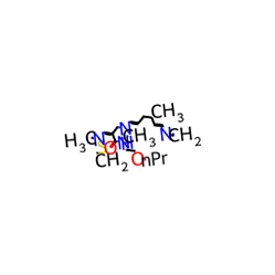 C=CSN(C)/C=C(/CN/C=C/CC(C)/C=C/N=C)C(=O)N(C)CCOCCC